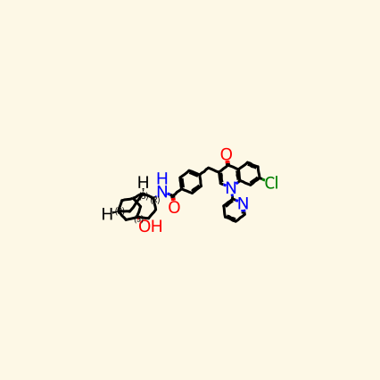 O=C(N[C@@H]1CC[C@@]2(O)CC3C[C@H](C[C@@H]31)C2)c1ccc(Cc2cn(-c3ccccn3)c3cc(Cl)ccc3c2=O)cc1